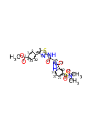 COC(=O)c1ccc(-c2csc(NC(=O)CNC(=O)c3cccc(S(=O)(=O)N(C)C)c3)n2)cc1